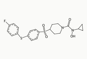 O=C(N1CCC(S(=O)(=O)c2ccc(Sc3ccc(F)cc3)cc2)CC1)N(O)C1CC1